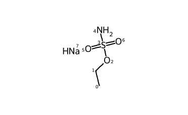 CCOS(N)(=O)=O.[NaH]